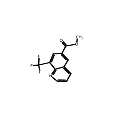 COC(=O)c1cc(C(F)(F)F)c2ncccc2c1